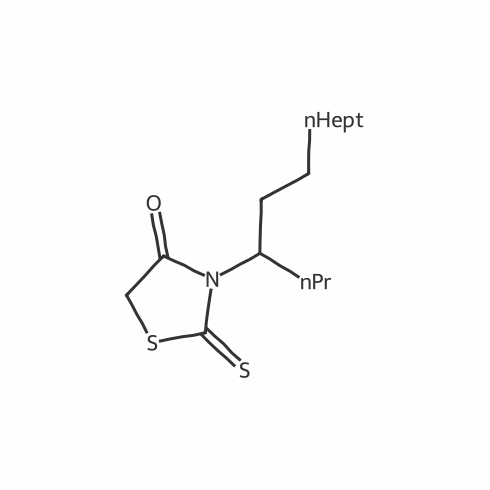 CCCCCCCCCC(CCC)N1C(=O)CSC1=S